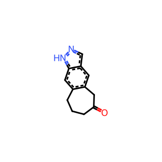 O=C1CCCc2cc3[nH]ncc3cc2C1